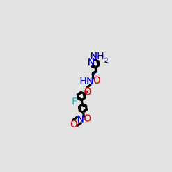 Nc1ccc(/C=C/C(=O)NCCOc2ccc(F)c(-c3ccc(C(=O)N4CCOCC4)cc3)c2)cn1